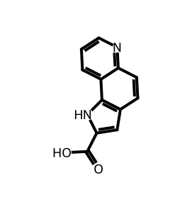 O=C(O)c1cc2ccc3ncccc3c2[nH]1